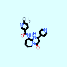 Cc1ccc(C(=O)NC2=C3NC(c4ccncc4)CC(=O)N3CCC=C2)cn1